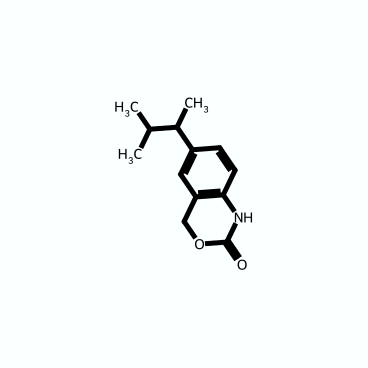 CC(C)C(C)c1ccc2c(c1)COC(=O)N2